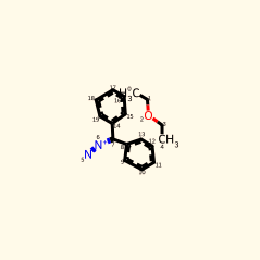 CCOCC.[N-]=[N+]=C(c1ccccc1)c1ccccc1